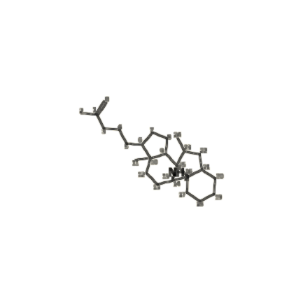 C=C(C)CCCC1CCC2C1(C)CCC1(N)C34CCCCC3CC(C)C214